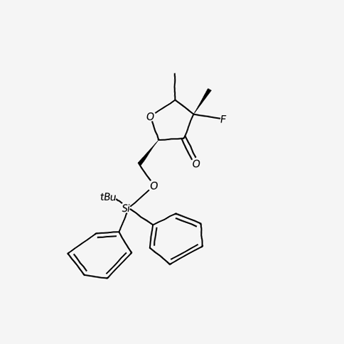 CC1O[C@H](CO[Si](c2ccccc2)(c2ccccc2)C(C)(C)C)C(=O)[C@@]1(C)F